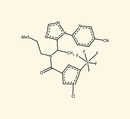 CSCCN(C(=O)c1cc(Cl)cc(S(F)(F)(F)(F)F)c1)C(C)c1ncnn1-c1ccc(C#N)cn1